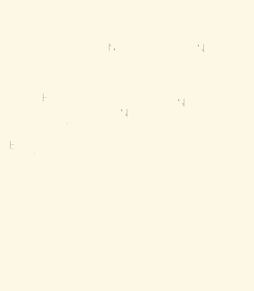 CCOC(=O)C(F)(F)CN(CCc1cccs1)c1nc(Cl)ncc1[N+](=O)[O-]